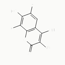 Cc1c(C(C)C)c(=O)oc2c(F)c(O)c(F)cc12